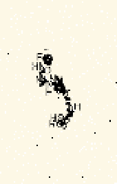 CC(C)(CCOP(=O)(O)O)NCCCOc1ccc2c(Nc3cnn(CC(=O)Nc4cccc(F)c4F)c3)ncnc2c1